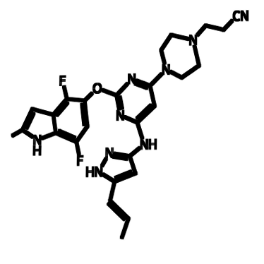 C/C=C/c1cc(Nc2cc(N3CCN(CCC#N)CC3)nc(Oc3cc(F)c4[nH]c(C)cc4c3F)n2)n[nH]1